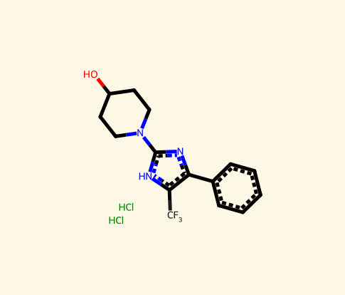 Cl.Cl.OC1CCN(c2nc(-c3ccccc3)c(C(F)(F)F)[nH]2)CC1